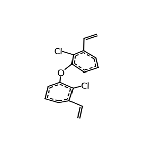 C=Cc1cccc(Oc2cccc(C=C)c2Cl)c1Cl